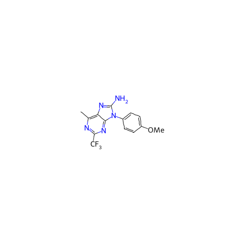 COc1ccc(-n2c(N)nc3c(C)nc(C(F)(F)F)nc32)cc1